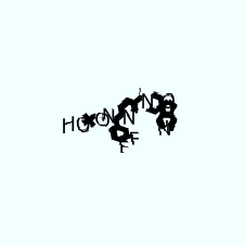 C[C@@H](c1ccc(/C(=N/OCC(C)(C)O)c2ccc(F)c(F)c2)nc1)N1CCC2(CC1)OCc1ccncc12